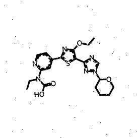 CCOc1nc(-c2ccnc(N(CC)C(=O)O)c2)sc1-c1ncn(C2CCCCO2)n1